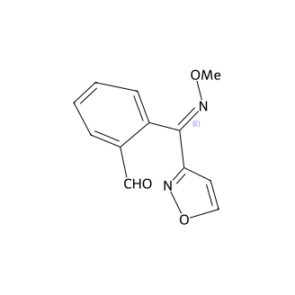 CO/N=C(/c1ccon1)c1ccccc1C=O